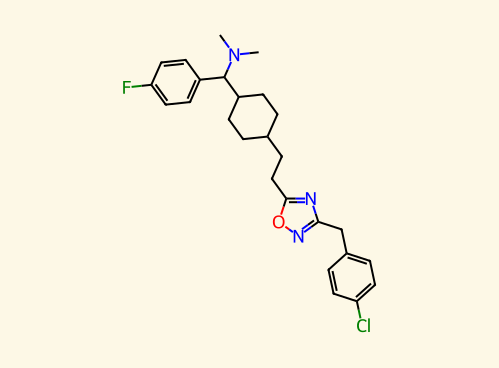 CN(C)C(c1ccc(F)cc1)C1CCC(CCc2nc(Cc3ccc(Cl)cc3)no2)CC1